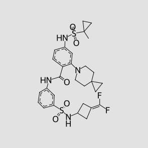 CC1(S(=O)(=O)Nc2ccc(C(=O)Nc3cccc(S(=O)(=O)NC4CC(=C(F)F)C4)c3)c(N3CCC4(CC3)CC4)c2)CC1